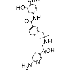 COc1ccc(NC(=O)c2cccc(CC(C)(C)NC[C@@H](O)c3ccc(N)nc3)c2)cc1O